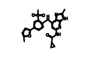 Cc1nc2c(Nc3ccc(-c4ccc(C)o4)cc3S(C)(=O)=O)cc(NC(=O)C3CC3)nc2[nH]1